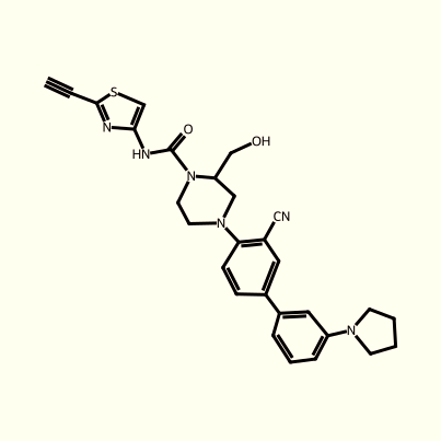 C#Cc1nc(NC(=O)N2CCN(c3ccc(-c4cccc(N5CCCC5)c4)cc3C#N)CC2CO)cs1